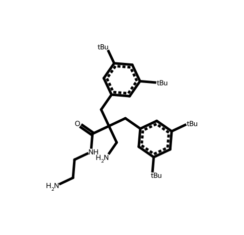 CC(C)(C)c1cc(CC(CN)(Cc2cc(C(C)(C)C)cc(C(C)(C)C)c2)C(=O)NCCN)cc(C(C)(C)C)c1